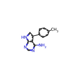 Cc1ccc(-c2c[nH]c3ncnc(N)c23)cc1